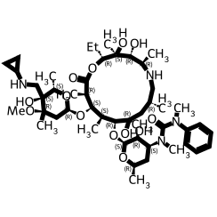 CC[C@H]1OC(=O)[C@H](C)[C@@H](O[C@H]2C[C@@](C)(OC)[C@](O)(CNC3CC3)[C@H](C)O2)[C@H](C)[C@@H](O[C@@H]2O[C@H](C)C[C@H](N(C)C(=O)N(C)c3ccccc3)[C@H]2O)[C@](C)(O)C[C@@H](C)CN[C@H](C)[C@@H](O)[C@]1(C)O